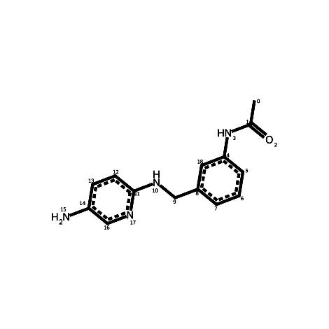 CC(=O)Nc1cccc(CNc2ccc(N)cn2)c1